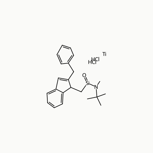 CN([Si](=O)CC1C(Cc2ccccc2)=Cc2ccccc21)C(C)(C)C.Cl.Cl.[Ti]